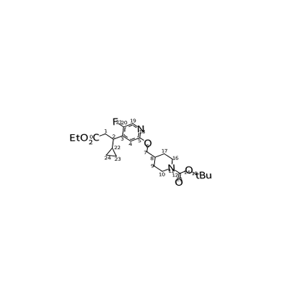 CCOC(=O)CC(c1cc(OCC2CCN(C(=O)OC(C)(C)C)CC2)ncc1F)C1CC1